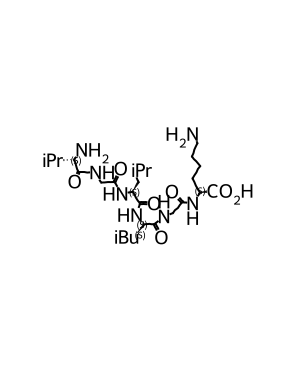 CC[C@H](C)[C@H](NC(=O)[C@H](CC(C)C)NC(=O)CNC(=O)[C@@H](N)C(C)C)C(=O)NCC(=O)N[C@@H](CCCCN)C(=O)O